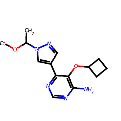 CCOC(C)n1cc(-c2ncnc(N)c2OC2CCC2)cn1